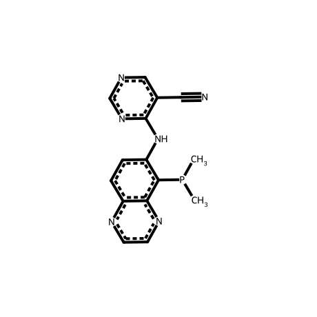 CP(C)c1c(Nc2ncncc2C#N)ccc2nccnc12